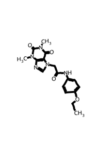 CCOc1ccc(NC(=O)Cn2cnc3c2c(=O)n(C)c(=O)n3C)cc1